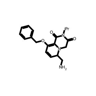 CC(C)N1C(=O)CN2C(=C(OCc3ccccc3)C=CC2CN)C1=O